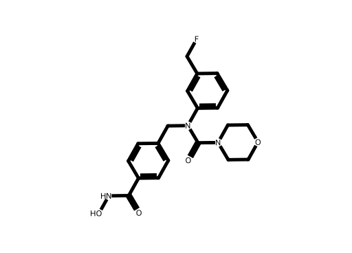 O=C(NO)c1ccc(CN(C(=O)N2CCOCC2)c2cccc(CF)c2)cc1